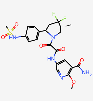 COc1ncc(NC(=O)C(=O)N2C[C@@H](C)C(F)(F)CC2c2ccc(NS(C)(=O)=O)cc2)cc1C(N)=O